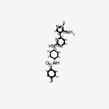 Cc1ccc([S+]([O-])N[C@H]2CC[C@@H](Nc3nccc(-c4cnn(C)c4N)n3)CC2)cc1